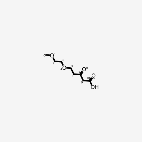 COCCOCCC(=O)CC(=O)O